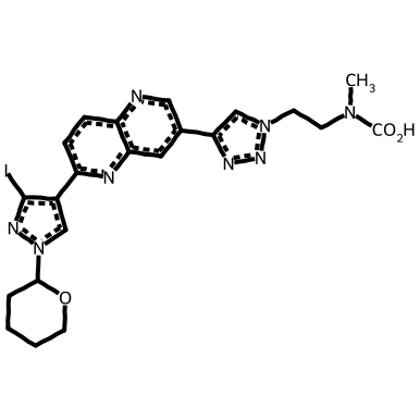 CN(CCn1cc(-c2cnc3ccc(-c4cn(C5CCCCO5)nc4I)nc3c2)nn1)C(=O)O